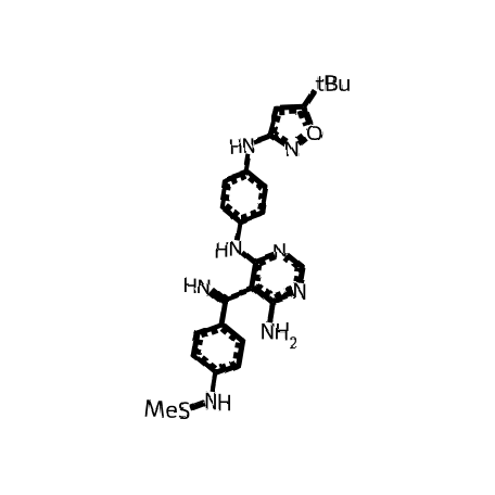 CSNc1ccc(C(=N)c2c(N)ncnc2Nc2ccc(Nc3cc(C(C)(C)C)on3)cc2)cc1